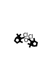 CC12CCC(C1)C(C)(C)C2C(Cl)OC(Cl)C1C2(C)CCC(C2)C1(C)C